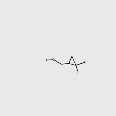 FC1(F)CC1COI